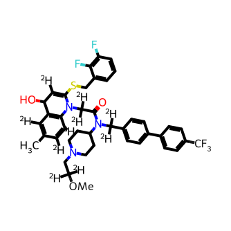 [2H]C1=C(SCc2cccc(F)c2F)N(C([2H])([2H])C(=O)N(C2CCN(CC([2H])([2H])OC)CC2)C([2H])([2H])c2ccc(-c3ccc(C(F)(F)F)cc3)cc2)c2c([2H])c([2H])c(C)c([2H])c2C1O